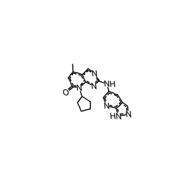 Cc1cc(=O)n(C2CCCC2)c2nc(Nc3cnc4[nH]ncc4c3)ncc12